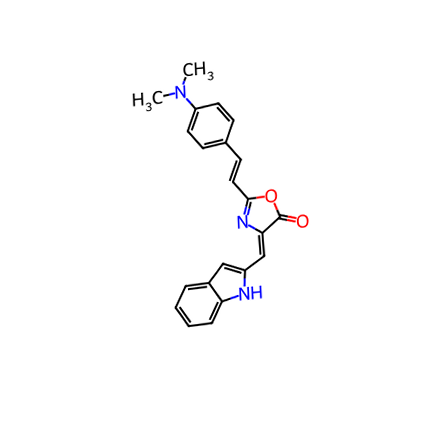 CN(C)c1ccc(/C=C/C2=NC(=C\c3cc4ccccc4[nH]3)/C(=O)O2)cc1